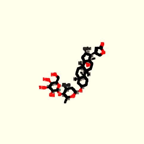 CO[C@H]1C[C@H](O[C@H]2CC[C@@]3(C)[C@H](CC[C@@H]4[C@@H]3CC[C@]3(C)[C@@H](C5=CC(=O)OC5)[C@@H](OC(C)=O)C[C@]43O)C2)O[C@@H](C)[C@@H]1O[C@@H]1O[C@H](CO)[C@@H](O)[C@H](O)[C@H]1O